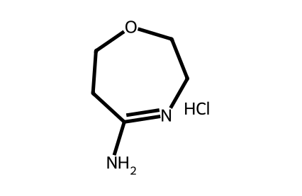 Cl.NC1=NCCOCC1